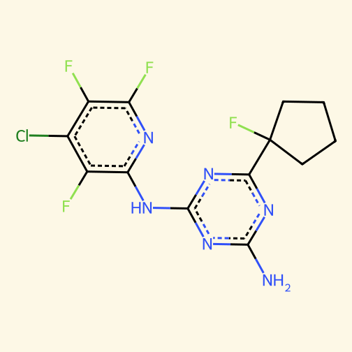 Nc1nc(Nc2nc(F)c(F)c(Cl)c2F)nc(C2(F)CCCC2)n1